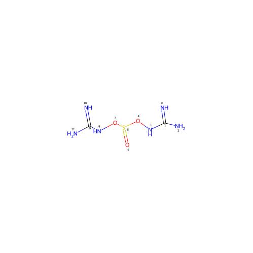 N=C(N)NOS(=O)ONC(=N)N